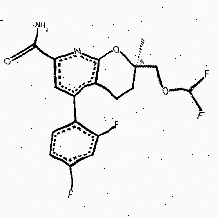 C[C@]1(COC(F)F)CCc2c(-c3ccc(F)cc3F)cc(C(N)=O)nc2O1